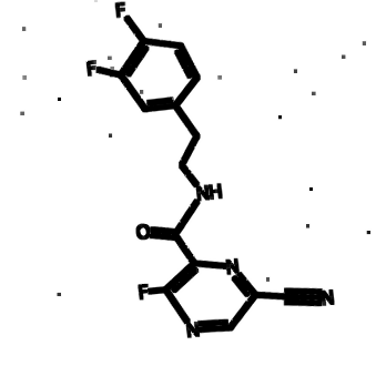 N#Cc1cnc(F)c(C(=O)NCCc2ccc(F)c(F)c2)n1